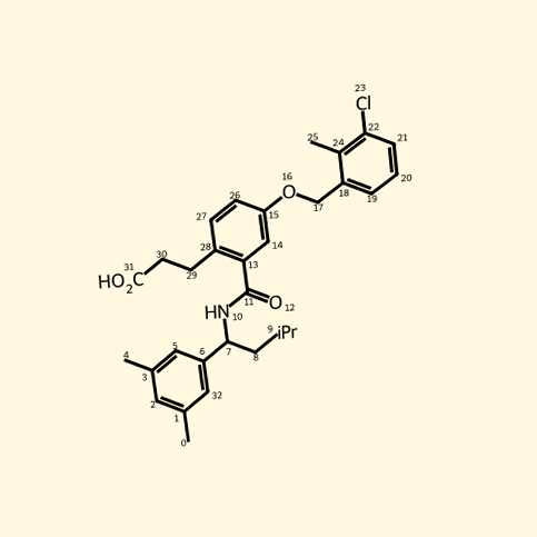 Cc1cc(C)cc(C(CC(C)C)NC(=O)c2cc(OCc3cccc(Cl)c3C)ccc2CCC(=O)O)c1